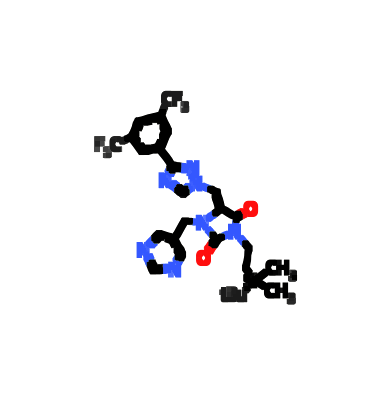 CC(C)(C)[Si](C)(C)CCN1C(=O)C(=Cn2cnc(-c3cc(C(F)(F)F)cc(C(F)(F)F)c3)n2)N(Cc2cncnc2)C1=O